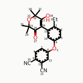 CCc1ccc(Oc2ccc(C#N)c(C#N)c2)cc1C1=C(O)C(C)(C)OC(C)(C)C1=O